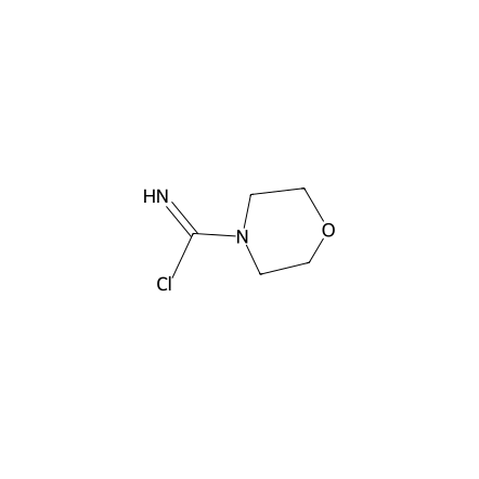 N=C(Cl)N1CCOCC1